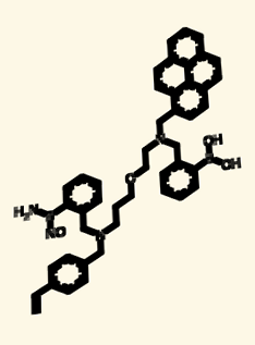 C=Cc1ccc(CN(CCCOCCN(Cc2ccccc2B(O)O)Cc2ccc3ccc4cccc5ccc2c3c45)Cc2ccccc2B(N)N=O)cc1